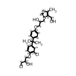 Cc1nnn(CC(O)COc2ccc(C(C)(C)c3ccc(OCC(O)CCl)c(Cl)c3)cc2)c1CO